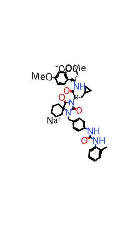 COc1ccc([C@H](CC(=O)[O-])NC(=O)[C@H](CC2CC2)N2C(=O)N(Cc3ccc(NC(=O)Nc4ccccc4C)cc3)C3(CCCCC3)C2=O)c(OC)c1.[Na+]